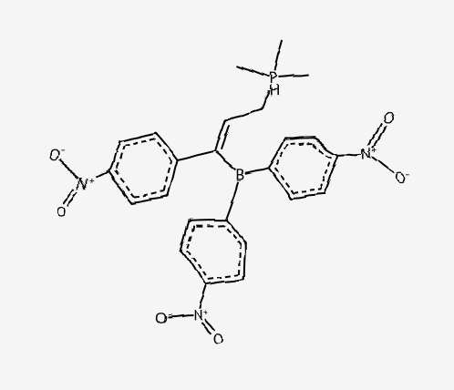 C[PH](C)(C)C/C=C(\B(c1ccc([N+](=O)[O-])cc1)c1ccc([N+](=O)[O-])cc1)c1ccc([N+](=O)[O-])cc1